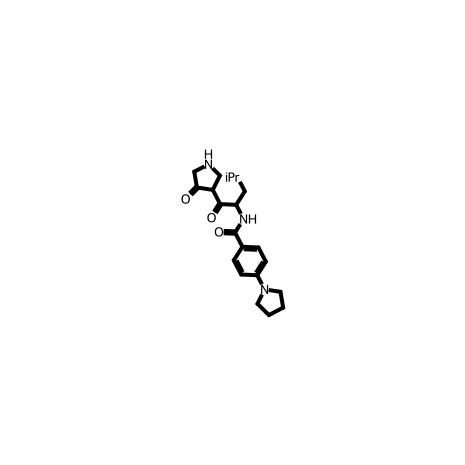 CC(C)CC(NC(=O)c1ccc(N2CCCC2)cc1)C(=O)C1CNCC1=O